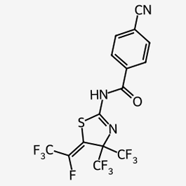 N#Cc1ccc(C(=O)NC2=NC(C(F)(F)F)(C(F)(F)F)C(=C(F)C(F)(F)F)S2)cc1